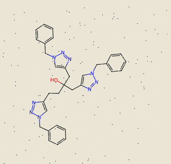 OC(CCc1cn(Cc2ccccc2)nn1)(Cc1cn(Cc2ccccc2)nn1)Cc1cn(Cc2ccccc2)nn1